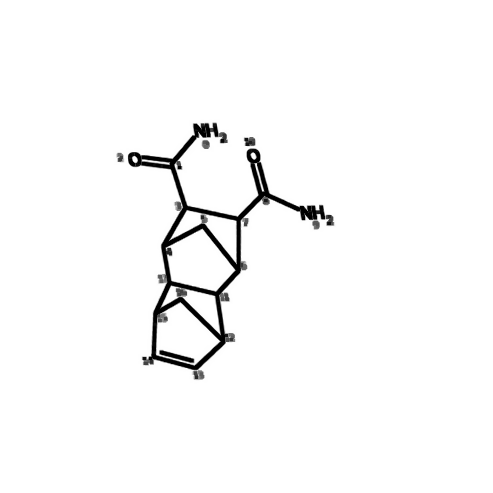 NC(=O)C1C2CC(C1C(N)=O)C1C3C=CC(C3)C21